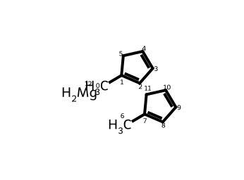 CC1=CC=CC1.CC1=CC=CC1.[MgH2]